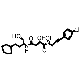 O=C(C[C@H](O)C(=O)N(O)CC#Cc1ccc(Cl)cc1)N[C@H](CO)CCC1CCCCC1